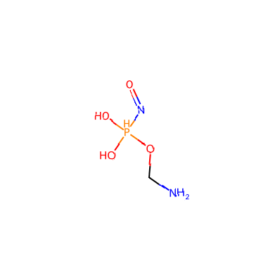 NCO[PH](O)(O)N=O